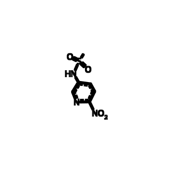 CS(=O)(=O)Nc1ccc([N+](=O)[O-])nc1